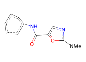 CNc1ncc(C(=O)Nc2ccccc2)o1